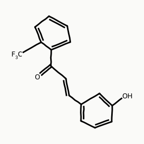 O=C(/C=C/c1cccc(O)c1)c1ccccc1C(F)(F)F